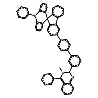 CN1C(c2ccccc2)=c2ccccc2=NC1c1cccc(-c2ccc(-c3ccc4c(c3)-c3ccccc3C43c4ccccc4N(c4ccccc4)c4ccccc43)cc2)c1